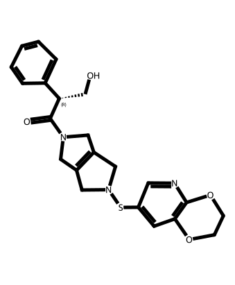 O=C([C@@H](CO)c1ccccc1)N1CC2=C(CN(Sc3cnc4c(c3)OCCO4)C2)C1